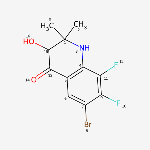 CC1(C)Nc2c(cc(Br)c(F)c2F)C(=O)C1O